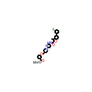 COC(=O)c1cccc(OCC2CCN(c3ccc(NC(=O)c4oc5ccc(-c6cccc(F)c6)cc5c4C)cn3)CC2)c1